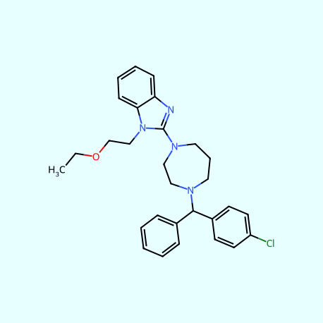 CCOCCn1c(N2CCCN(C(c3ccccc3)c3ccc(Cl)cc3)CC2)nc2ccccc21